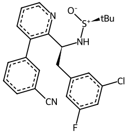 CC(C)(C)[S@+]([O-])N[C@@H](Cc1cc(F)cc(Cl)c1)c1ncccc1-c1cccc(C#N)c1